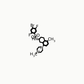 Cc1ccc(N2CCN(C)CC2)c2c1CC[C@@H](NS(=O)(=O)c1cc(F)c(Br)cc1F)C2